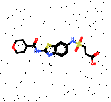 O=C(O)CCS(=O)(=O)Nc1ccc2nc(NC(=O)C3CCOCC3)sc2c1